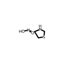 C1CSCN1.O=NO